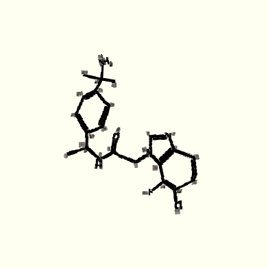 C[C@H](NC(=O)Cn1cnc2ccc(Cl)c(F)c21)c1ccc(C(C)(C)N)cc1